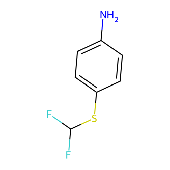 Nc1ccc(SC(F)F)cc1